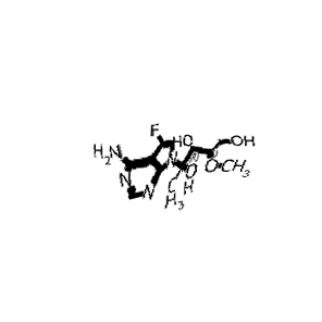 CO[C@H](CO)[C@@H](O)[C@@](C)(O)n1cc(F)c2c(N)ncnc21